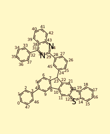 c1ccc(-c2ccc3c(c2)-c2cc4sc5ccccc5c4cc2C3c2cccc(-c3nc(-c4ccccc4)c4ccccc4n3)c2)cc1